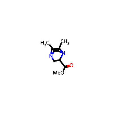 COC(=O)C1CN2CCN1C(C)C2C